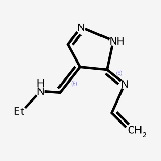 C=C/N=C1/NN=C/C1=C\NCC